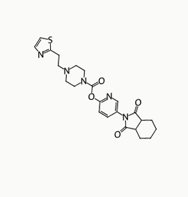 O=C(Oc1ccc(N2C(=O)C3CCCCC3C2=O)cn1)N1CCN(CCc2nccs2)CC1